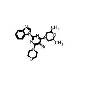 C[C@@H]1CN(c2nc(-n3cnc4ccccc43)nc(N3CCOCC3)c2Br)C[C@@H](C)O1